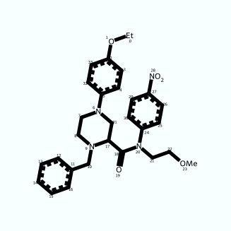 CCOc1ccc(N2CCN(Cc3ccccc3)C(C(=O)N(CCOC)c3ccc([N+](=O)[O-])cc3)C2)cc1